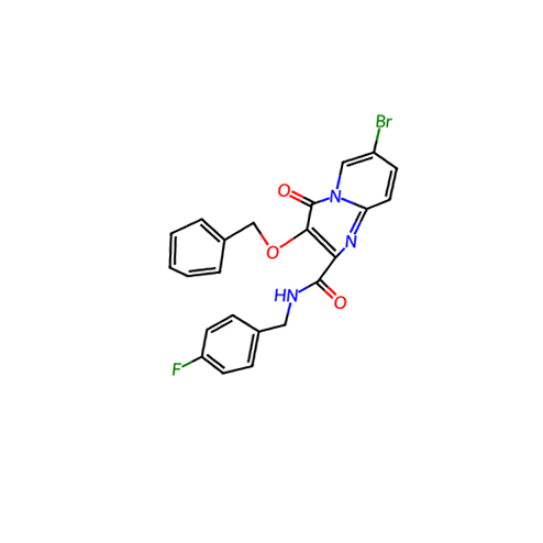 O=C(NCc1ccc(F)cc1)c1nc2ccc(Br)cn2c(=O)c1OCc1ccccc1